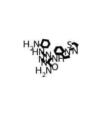 NC(=O)c1nnc(NC2CCCC[C@@H]2N)nc1Nc1cccc2c1ccn2-c1nccs1